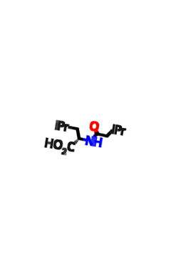 CC(C)CC(=O)N[C@@H](CC(C)C)C(=O)O